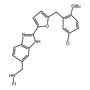 CCNCc1ccc2nc(-c3ccc(Cc4cc(Cl)ccc4OCC(C)C)o3)[nH]c2c1